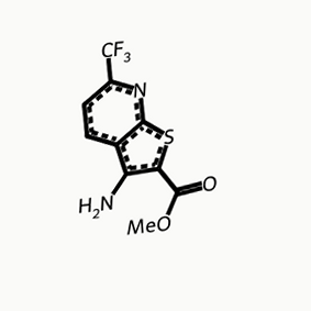 COC(=O)c1sc2nc(C(F)(F)F)ccc2c1N